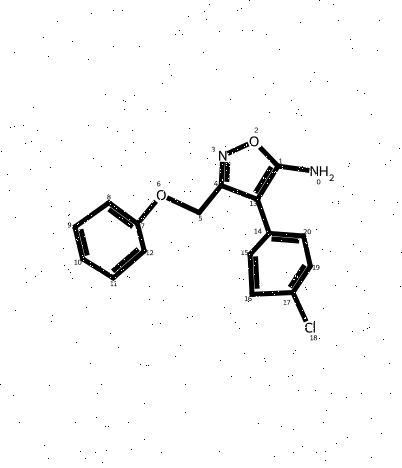 Nc1onc(COc2ccccc2)c1-c1ccc(Cl)cc1